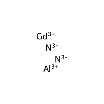 [Al+3].[Gd+3].[N-3].[N-3]